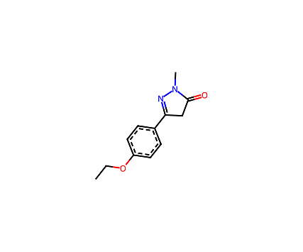 CCOc1ccc(C2=NN(C)C(=O)C2)cc1